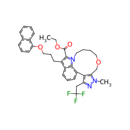 CCOC(=O)c1c(CCCOc2cccc3ccccc23)c2cccc3c2n1CCCCOCc1c-3c(CC(F)(F)F)nn1C